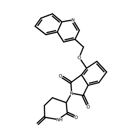 C=C1CCC(N2C(=O)c3cccc(OCc4cnc5ccccc5c4)c3C2=O)C(=O)N1